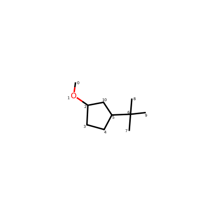 COC1CCC(C(C)(C)C)C1